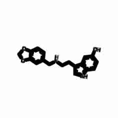 Oc1ccc2[nH]cc(CCNCc3ccc4c(c3)OCO4)c2c1